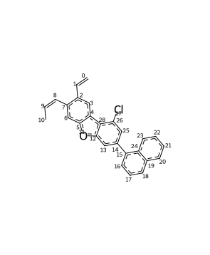 C=Cc1cc2c(cc1/C=C\C)oc1cc(-c3cccc4ccccc34)cc(Cl)c12